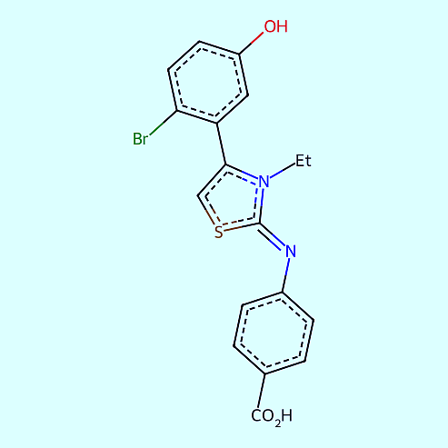 CCn1c(-c2cc(O)ccc2Br)csc1=Nc1ccc(C(=O)O)cc1